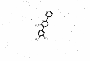 Cc1ccc(-c2cnc(-c3cccnn3)nc2C)cc1C